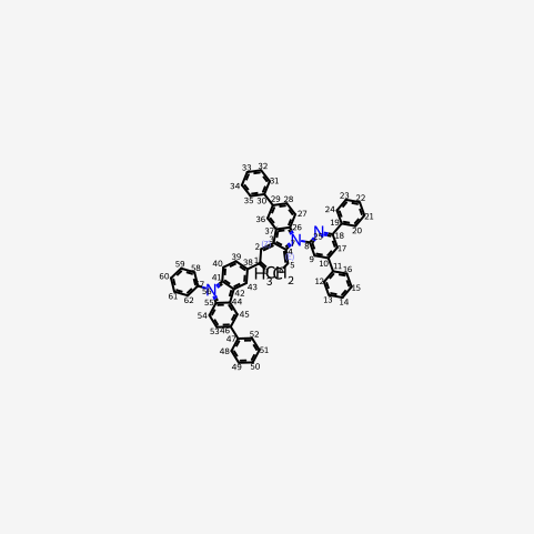 C=C(/C=c1\c(=C/C)n(-c2cc(-c3ccccc3)cc(-c3ccccc3)n2)c2ccc(-c3ccccc3)cc12)c1ccc2c(c1)c1cc(-c3ccccc3)ccc1n2-c1ccccc1